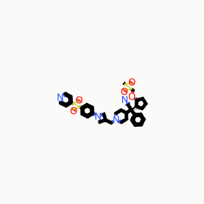 CS(=O)(=O)CO[C@@H]1CCC[C@H]1C(C#N)(c1ccccc1)C1CCN(CC2CN(c3ccc(S(=O)(=O)c4ccncc4)cc3)C2)CC1